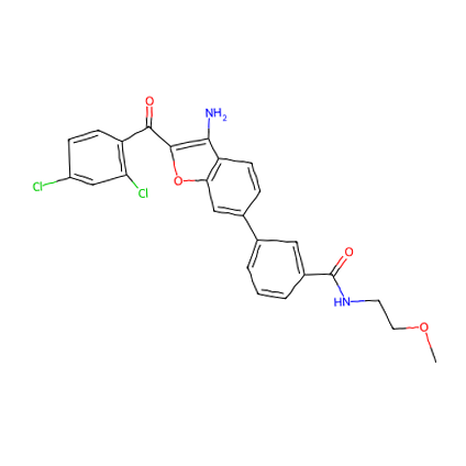 COCCNC(=O)c1cccc(-c2ccc3c(N)c(C(=O)c4ccc(Cl)cc4Cl)oc3c2)c1